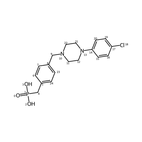 O=P(O)(O)Cc1ccc(CN2CCN(c3ccc(Cl)cc3)CC2)cc1